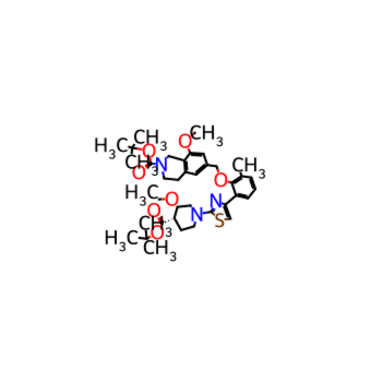 CCO[C@@H]1CN(c2nc(-c3cccc(C)c3OCc3cc4c(c(OC)c3)CN(C(=O)OC(C)(C)C)CC4)cs2)CC[C@@H]1C(=O)OC(C)(C)C